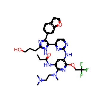 CCC(=O)Nc1cc(Nc2nccc(-c3[nH]c(CCCO)nc3-c3ccc4ccoc4c3)n2)c(OCC(F)(F)F)nc1N(C)CCN(C)C